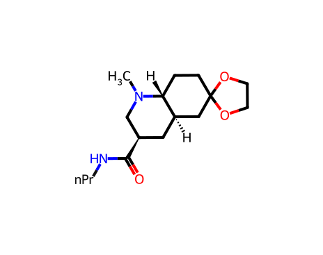 CCCNC(=O)[C@@H]1C[C@@H]2CC3(CC[C@H]2N(C)C1)OCCO3